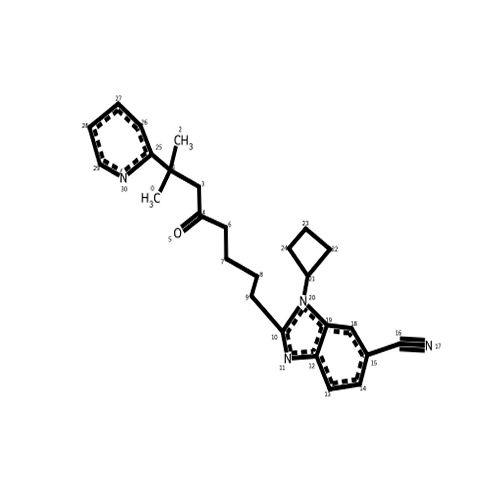 CC(C)(CC(=O)CCCCc1nc2ccc(C#N)cc2n1C1CCC1)c1ccccn1